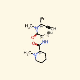 C#C[C@H](C(C)C)N(C)C(=O)[C@@H](NC(=O)[C@H]1CCCCN1C)[C@@H](C)CC